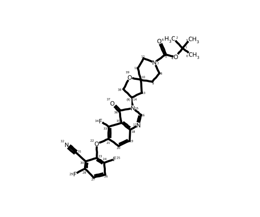 CC(C)(C)OC(=O)N1CCC2(CC1)C[C@@H](n1cnc3ccc(Oc4c(F)ccc(F)c4C#N)c(F)c3c1=O)CO2